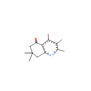 CC(=O)c1c(C(C)C)nc2c(c1I)C(=O)CC(C)(C)C2